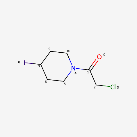 O=C(CCl)N1CCC(I)CC1